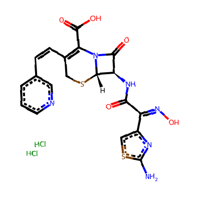 Cl.Cl.Nc1nc(C(=NO)C(=O)N[C@@H]2C(=O)N3C(C(=O)O)=C(/C=C\c4cccnc4)CS[C@@H]23)cs1